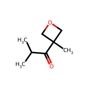 CC(C)C(=O)C1(C)COC1